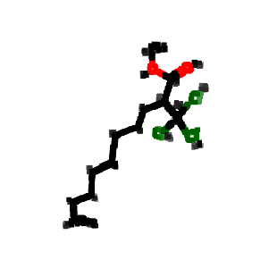 CCCCCCCCCCCCCCCCCC(C(=O)OC(C)(C)C)[Si](Cl)(Cl)Cl